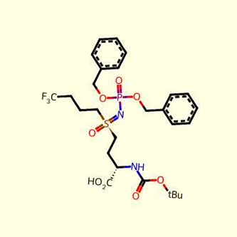 CC(C)(C)OC(=O)N[C@@H](CC[S@@](=O)(CCCC(F)(F)F)=NP(=O)(OCc1ccccc1)OCc1ccccc1)C(=O)O